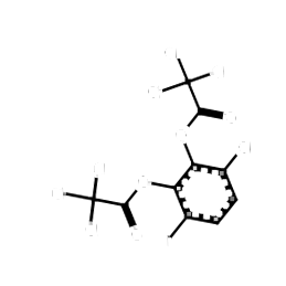 O=C(Oc1c(Cl)ccc(I)c1OC(=O)C(Cl)(Cl)Cl)C(Cl)(Cl)Cl